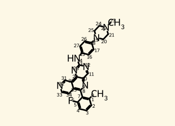 Cc1cccc(F)c1-c1nc2cnc(Nc3ccc(N4CCN(C)CC4)cc3)nc2c2cnccc12